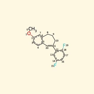 COc1ccc2c(c1)CCCC(c1cc(F)ccc1F)=[C]2